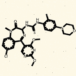 COc1ncc(C2=NC(NC(=S)Nc3ccc(N4CCOCC4)cc3C)C(=O)N(C)c3ccc(Cl)cc32)c(OC)n1